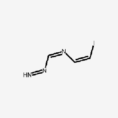 N=N/C=N\C=C/I